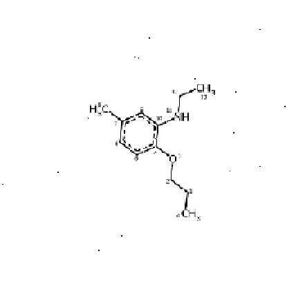 CCCOc1ccc(C)cc1NCC